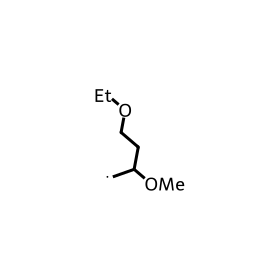 [CH2]C(CCOCC)OC